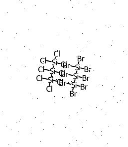 Br[Si](Br)(Br)[Si](Br)(Br)[Si](Br)(Br)Br.Cl[Si](Cl)(Cl)[Si](Cl)(Cl)[Si](Cl)(Cl)Cl